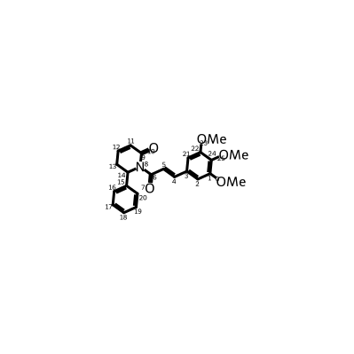 COc1cc(C=CC(=O)N2C(=O)C=CCC2c2ccccc2)cc(OC)c1OC